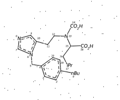 CCCCc1ccc(Cn2cncc2CCN(C(=O)O)C(CC(C)C)C(=O)O)cc1